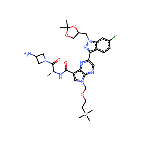 C[C@@H](NC(=O)c1cn(COCC[Si](C)(C)C)c2ncc(-c3nn(CC4COC(C)(C)O4)c4cc(Cl)ccc34)nc12)C(=O)N1CC(N)C1